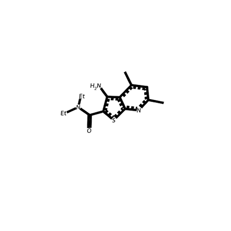 CCN(CC)C(=O)c1sc2nc(C)cc(C)c2c1N